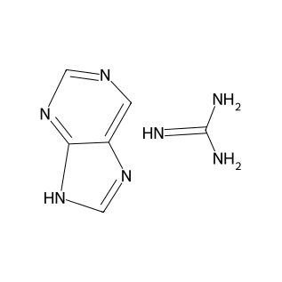 N=C(N)N.c1ncc2nc[nH]c2n1